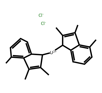 CC1=C(C)[CH]([U+2][CH]2C(C)=C(C)c3c(C)cccc32)c2cccc(C)c21.[Cl-].[Cl-]